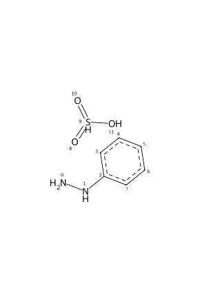 NNc1ccccc1.O=[SH](=O)O